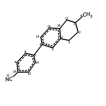 CC1CCc2cc(-c3ccc(C#N)cc3)ccc2C1